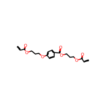 C=CC(=O)OCCCOC(=O)c1ccc(OCCCOC(=O)C=C)cc1